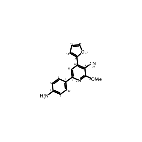 COc1nc(-c2ccc(N)cc2)cc(-c2ccco2)c1C#N